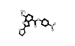 COc1ccc(C(=O)Oc2ccc([N+](=O)[O-])cc2)c2cc(C3CCCO3)oc12